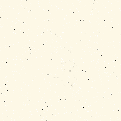 CCOC(=O)CN(C)C1CCCN(c2nc3c(c(=O)n(C)c(=O)n3C)n2CC=C(C)C)C1